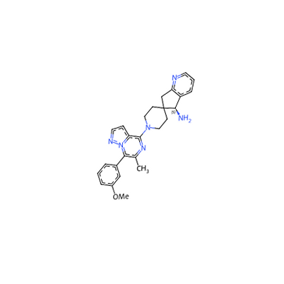 COc1cccc(-c2c(C)nc(N3CCC4(CC3)Cc3ncccc3[C@H]4N)c3ccnn23)c1